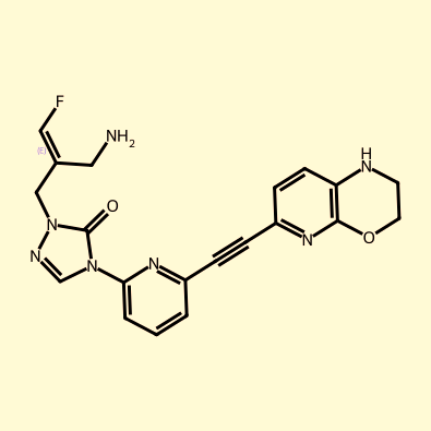 NC/C(=C\F)Cn1ncn(-c2cccc(C#Cc3ccc4c(n3)OCCN4)n2)c1=O